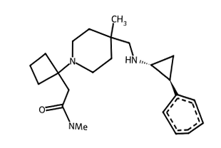 CNC(=O)CC1(N2CCC(C)(CN[C@@H]3C[C@H]3c3ccccc3)CC2)CCC1